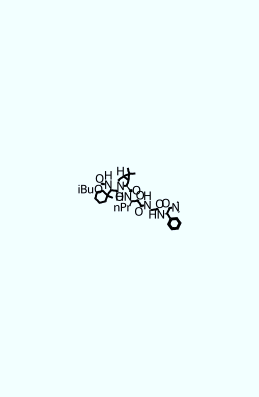 CCC[C@@H](NC(=O)[C@@H]1C2[C@H](CN1C(=O)[C@@H](NC(=O)OCC(C)C)C1(C)CCCCC1)C2(C)C)C(=O)C(=O)NCC(=O)N[C@H](C(=O)N(C)C)c1ccccc1